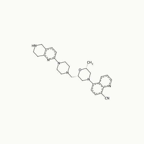 C[C@@H]1CN(c2ccc(C#N)c3ncccc23)C[C@H](CN2CCN(c3ccc4c(n3)CCNC4)CC2)O1